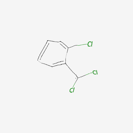 Cl[C](Cl)c1ccccc1Cl